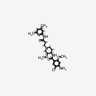 COc1cc(N)c(Cl)cc1C(=O)NC1CCN(CCC(=O)Nc2cc(C)cc(C)n2)CC1OC